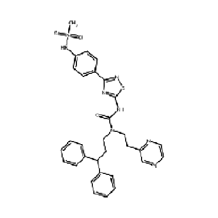 CS(=O)(=O)Nc1ccc(-c2nsc(NC(=O)N(CCc3cnccn3)CCC(c3ccccc3)c3ccccc3)n2)cc1